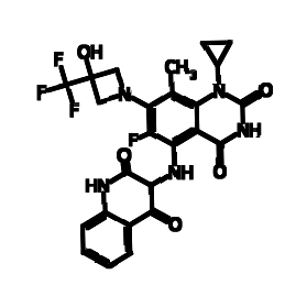 Cc1c(N2CC(O)(C(F)(F)F)C2)c(F)c(NC2C(=O)Nc3ccccc3C2=O)c2c(=O)[nH]c(=O)n(C3CC3)c12